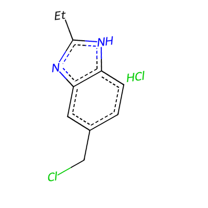 CCc1nc2cc(CCl)ccc2[nH]1.Cl